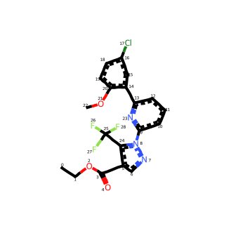 CCOC(=O)c1cnn(-c2cccc(-c3cc(Cl)ccc3OC)n2)c1C(F)(F)F